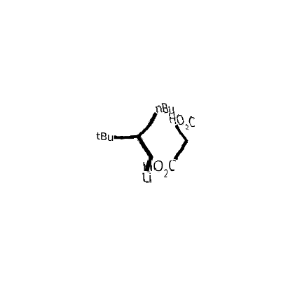 O=C(O)CC(=O)O.[Li][CH2]C(CCCC)C(C)(C)C